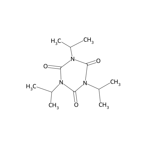 CC(C)n1c(=O)n(C(C)C)c(=O)n(C(C)C)c1=O